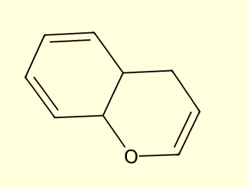 C1=CC2CC=COC2C=C1